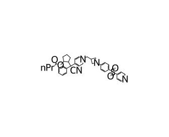 CCCC(=O)OC1CCCC1C(C#N)(C1=CCN(CC2CN(c3ccc(S(=O)(=O)c4ccncc4)cc3)C2)C=C1)c1ccccc1